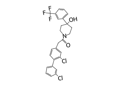 O=C(Cc1ccc(-c2cccc(Cl)c2)c(Cl)c1)N1CCC(O)(c2cccc(C(F)(F)F)c2)CC1